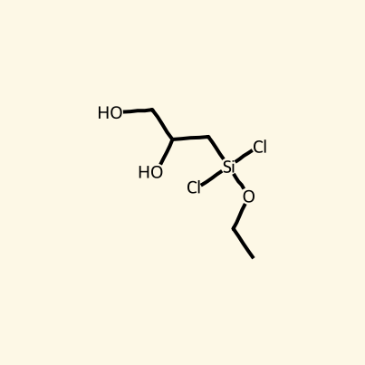 CCO[Si](Cl)(Cl)CC(O)CO